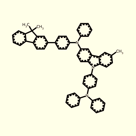 Cc1ccc2c(c1)c1cc(N(c3ccccc3)c3ccc(-c4ccc5c(c4)C(C)(C)c4ccccc4-5)cc3)ccc1n2-c1ccc(N(c2ccccc2)c2ccccc2)cc1